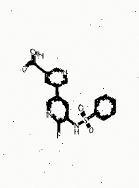 O=C(O)c1cncc(-c2cnc(F)c(NS(=O)(=O)c3ccccc3)c2)c1